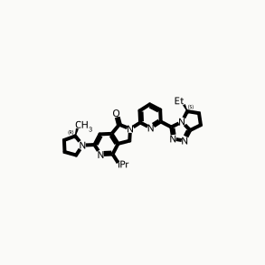 CC[C@H]1CCc2nnc(-c3cccc(N4Cc5c(cc(N6CCC[C@H]6C)nc5C(C)C)C4=O)n3)n21